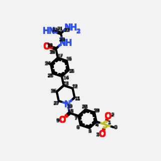 CS(=O)(=O)c1ccc(C(=O)N2CCC(c3ccc(C(=O)NC(=N)N)cc3)CC2)cc1